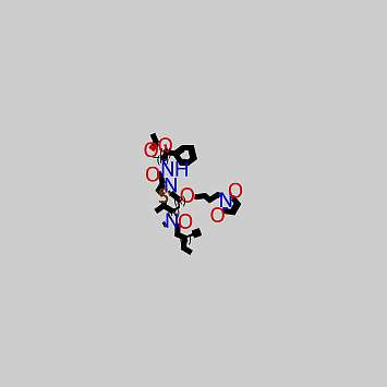 C#C[C@@H](CC)CC(=O)N(C)[C@H](C[C@@H](OCCCCN1C(=O)C=CC1=O)c1nc(C(=O)N[C@H](C)[C@@H](OC(C)=O)c2ccccc2)cs1)C(C)C